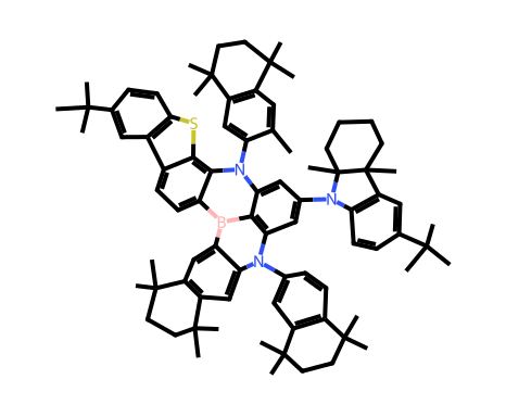 Cc1cc2c(cc1N1c3cc(N4c5ccc(C(C)(C)C)cc5C5(C)CCCCC45C)cc4c3B(c3cc5c(cc3N4c3ccc4c(c3)C(C)(C)CCC4(C)C)C(C)(C)CCC5(C)C)c3ccc4c(sc5ccc(C(C)(C)C)cc54)c31)C(C)(C)CCC2(C)C